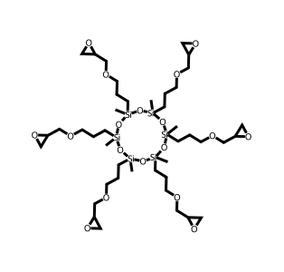 C[Si]1(CCCOCC2CO2)O[Si](C)(CCCOCC2CO2)O[Si](C)(CCCOCC2CO2)O[Si](C)(CCCOCC2CO2)O[Si](C)(CCCOCC2CO2)O[Si](C)(CCCOCC2CO2)O1